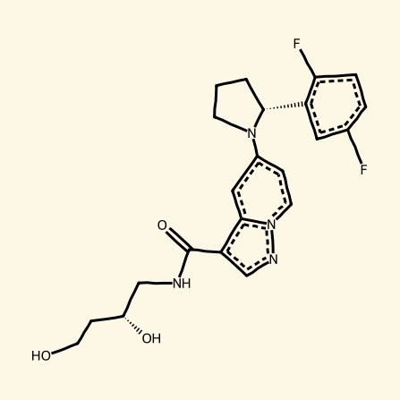 O=C(NC[C@H](O)CCO)c1cnn2ccc(N3CCC[C@@H]3c3cc(F)ccc3F)cc12